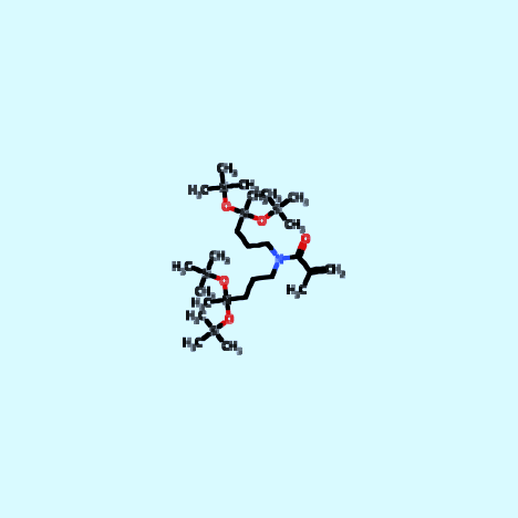 C=C(C)C(=O)N(CCC[Si](C)(O[Si](C)(C)C)O[Si](C)(C)C)CCC[Si](C)(O[Si](C)(C)C)O[Si](C)(C)C